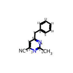 Cc1nc(C#N)cc(Cc2ccccc2)n1